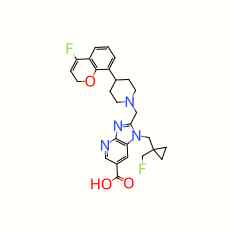 O=C(O)c1cnc2nc(CN3CCC(c4cccc5c4OCC=C5F)CC3)n(CC3(CF)CC3)c2c1